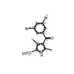 CCOC(=O)c1[nH]c(C)c(C(=O)c2cc(Br)cc(Br)c2)c1C